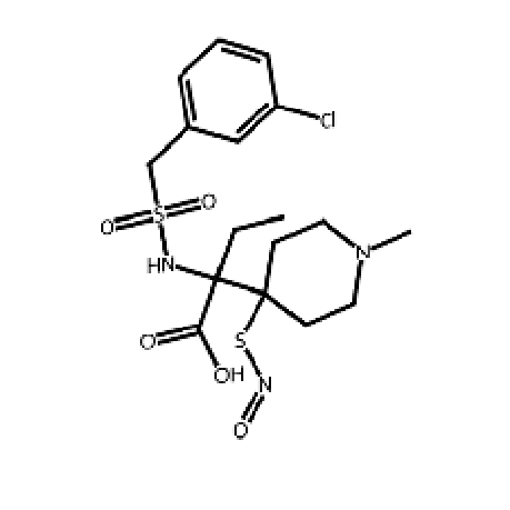 CCC(NS(=O)(=O)Cc1cccc(Cl)c1)(C(=O)O)C1(SN=O)CCN(C)CC1